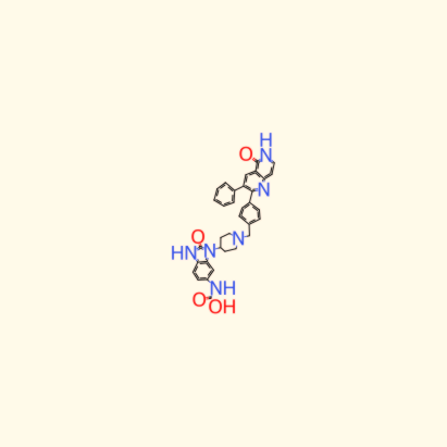 O=C(O)Nc1ccc2[nH]c(=O)n(C3CCN(Cc4ccc(-c5nc6cc[nH]c(=O)c6cc5-c5ccccc5)cc4)CC3)c2c1